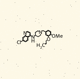 C=CCOc1cc(CN2CCC(Nc3ccnc4cc(Cl)ccc34)CC2)ccc1OC